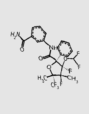 C[C@]1(F)[C@](F)(OC(F)F)[C@@](C(=O)Nc2cccc(C(N)=O)c2)(c2ccccc2)O[C@@]1(C)C(F)(F)F